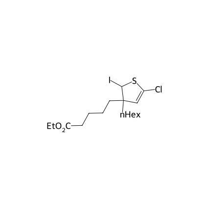 CCCCCCC1(CCCCC(=O)OCC)C=C(Cl)SC1I